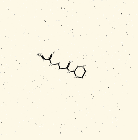 C=CC(=O)OCCC(=O)OC1CSCCS1